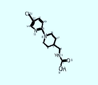 O=C(O)NCC1CCN(c2ccc(Cl)cn2)CC1